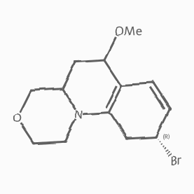 COC1CC2COCCN2C2=C1C=C[C@H](Br)C2